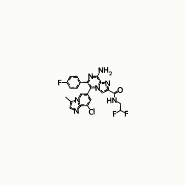 Cc1cnc2c(Cl)cc(-c3c(-c4ccc(F)cc4)nc(N)c4nc(C(=O)NCC(F)F)cn34)cn12